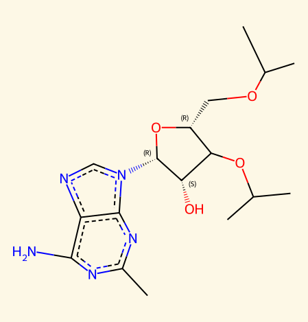 Cc1nc(N)c2ncn([C@@H]3O[C@H](COC(C)C)C(OC(C)C)[C@@H]3O)c2n1